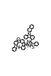 c1ccc2cc(-n3c4ccccc4c4c(-c5nc(-n6c7ccc8oc9ccc%10c%11ccccc%11n%11c%12cccc6c%12c7c8c9c%10%11)nc6sc7ccccc7c56)cccc43)ccc2c1